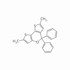 Cc1cc2c(s1)-c1sc(C)cc1C(c1ccccc1)(c1ccccc1)O2